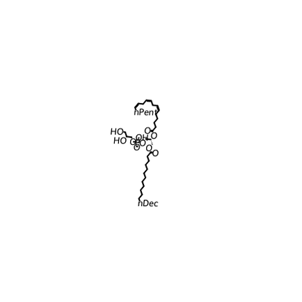 CCCCC/C=C\C/C=C\C/C=C\CCCCC(=O)O[C@H](COC(=O)CCCCCCCCCCCCCCCCCCCCC)COP(=O)(O)OC[C@@H](O)CO